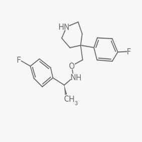 C[C@H](NOCC1(c2ccc(F)cc2)CCNCC1)c1ccc(F)cc1